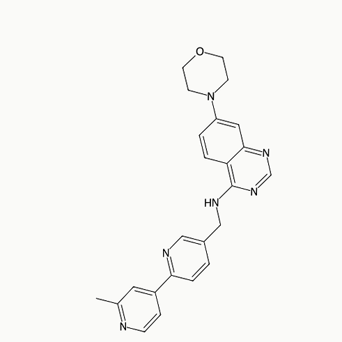 Cc1cc(-c2ccc(CNc3ncnc4cc(N5CCOCC5)ccc34)cn2)ccn1